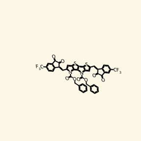 O=C1C(=O)c2cc(C(F)(F)F)ccc2/C1=C/c1cc2c(s1)c1sc3cc(/C=C4\C(=O)C(=O)c5cc(C(F)(F)F)ccc54)n(C(=O)OCc4ccccc4)c3c1n2C(=O)OCc1ccccc1